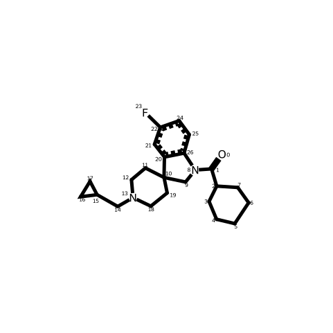 O=C(C1CCCCC1)N1CC2(CCN(CC3CC3)CC2)c2cc(F)ccc21